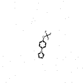 FC(F)(F)Oc1ccc(-n2cccc2)cc1